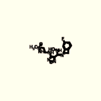 C[S@@](=N)(=O)CCNc1nonc1C(=N[C@H]1Cc2ccc(F)cc21)NO